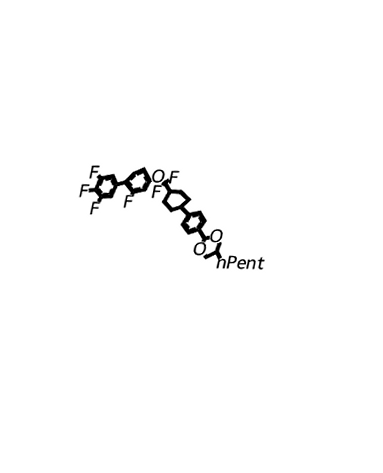 CCCCCC1COC(c2ccc(C3CCC(C(F)(F)Oc4ccc(-c5cc(F)c(F)c(F)c5)c(F)c4)CC3)cc2)OC1